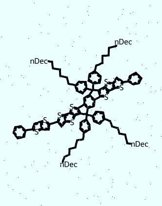 CCCCCCCCCCCCCCCCc1ccc(C2(c3ccc(CCCCCCCCCCCCCCCC)cc3)c3cc4c(cc3-c3sc5c(sc6cc(-c7ccccc7)sc65)c32)C(c2ccc(CCCCCCCCCCCCCCCC)cc2)(c2ccc(CCCCCCCCCCCCCCCC)cc2)c2c-4sc3c2sc2cc(-c4cc5sc(-c6ccccc6)cc5s4)sc23)cc1